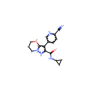 N#Cc1ccc(-c2c(C(=O)NC3CC3)nn3c2OCCC3)cn1